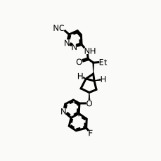 CCC(C(=O)Nc1ccc(C#N)nn1)[C@H]1[C@@H]2C[C@@H](Oc3ccnc4ccc(F)cc34)C[C@@H]21